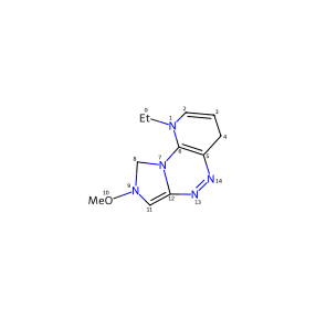 CCN1C=CCC2=C1N1CN(OC)C=C1N=N2